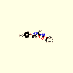 COCC(C)OC(=O)NC(=O)[C@@H](NC(C)COc1ccc(C#N)cc1)C(C)C